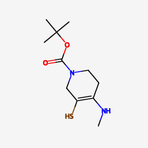 CNC1=C(S)CN(C(=O)OC(C)(C)C)CC1